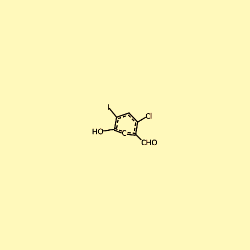 O=Cc1cc(O)c(I)cc1Cl